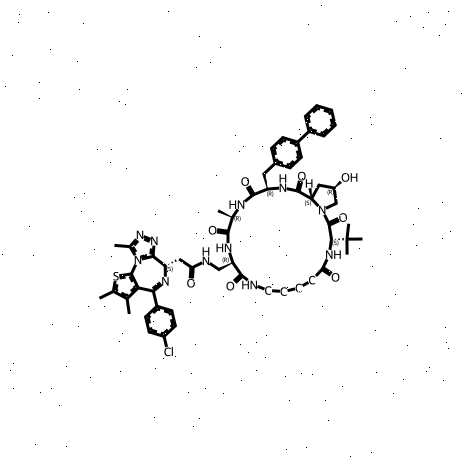 Cc1sc2c(c1C)C(c1ccc(Cl)cc1)=N[C@@H](CC(=O)NC[C@H]1NC(=O)[C@@H](C)NC(=O)[C@@H](Cc3ccc(-c4ccccc4)cc3)NC(=O)[C@@H]3C[C@@H](O)CN3C(=O)[C@H](C(C)(C)C)NC(=O)CCCCNC1=O)c1nnc(C)n1-2